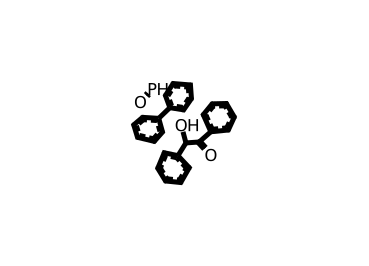 O=C(c1ccccc1)C(O)c1ccccc1.O=P.c1ccc(-c2ccccc2)cc1